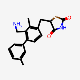 Cc1cccc(-c2ccc(CC3SC(=O)NC3=O)c(C)c2CN)c1